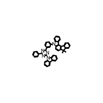 CC1(C)c2ccccc2-c2c1ccc1c2c2ccccc2n1-c1cccc(-c2nc(-c3ccccc3)nc(-n3c4ccccc4c4ccccc43)n2)c1